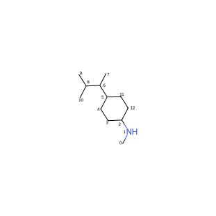 CNC1CCC(C(C)C(C)C)CC1